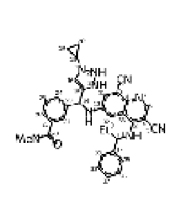 CC[C@@H](Nc1c(C#N)cnc2c(C#N)cc(N[C@H](C3=CN(C4CC4)NN3)c3cccc(C(=O)NC)c3)cc12)c1ccccc1